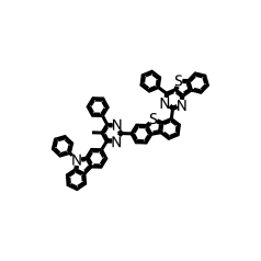 Cc1c(-c2ccccc2)nc(-c2ccc3c(c2)sc2c(-c4nc(-c5ccccc5)c5sc6ccccc6c5n4)cccc23)nc1-c1ccc2c3ccccc3n(-c3ccccc3)c2c1